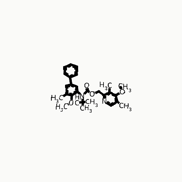 COc1c(C)cc(-c2ccccc2)cc1N(C(=O)OCc1ncc(C)c(OC)c1C)C(C)(C)C